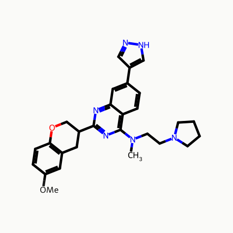 COc1ccc2c(c1)CC(c1nc(N(C)CCN3CCCC3)c3ccc(-c4cn[nH]c4)cc3n1)CO2